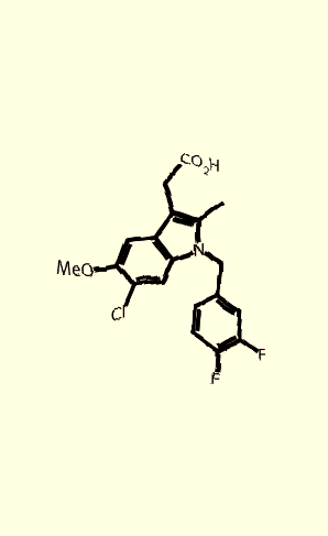 COc1cc2c(CC(=O)O)c(C)n(Cc3ccc(F)c(F)c3)c2cc1Cl